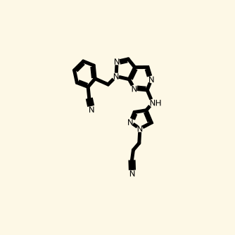 N#CCCn1cc(Nc2ncc3cnn(Cc4ccccc4C#N)c3n2)cn1